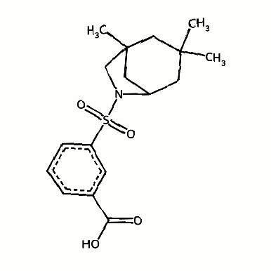 CC1(C)CC2CC(C)(CN2S(=O)(=O)c2cccc(C(=O)O)c2)C1